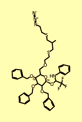 CC(CSCCN=[N+]=[N-])CSCCOCC1O[C@@H](OC(Nc2ccccc2)C(F)(F)F)C(OCc2ccccc2)C(OCc2ccccc2)[C@H]1OCc1ccccc1